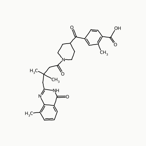 Cc1cc(C(=O)C2CCN(C(=O)CC(C)(C)Cc3nc4c(C)cccc4c(=O)[nH]3)CC2)ccc1C(=O)O